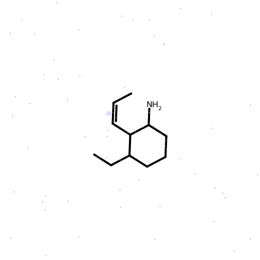 C/C=C\C1C(N)CCCC1CC